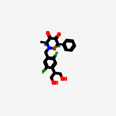 C[C@H]1C(=O)C(=O)[C@@H](c2ccccc2)SN1Cc1cc(F)c(C(CO)CO)cc1F